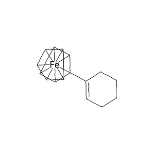 C1=C([C]23[CH]4[CH]5[CH]6[CH]2[Fe]56432789[CH]3[CH]2[CH]7[CH]8[CH]39)CCCC1